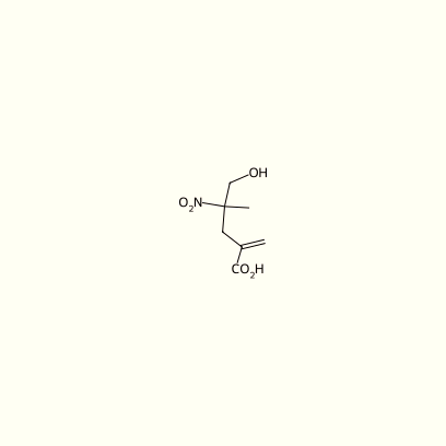 C=C(CC(C)(CO)[N+](=O)[O-])C(=O)O